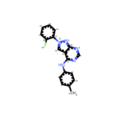 Cc1ccc(Nc2ncnc3nn(-c4ccccc4F)cc23)cc1